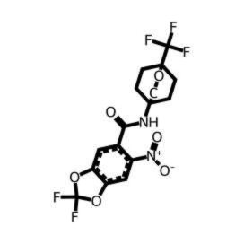 O=C(NC12CCC(C(F)(F)F)(CC1)OC2)c1cc2c(cc1[N+](=O)[O-])OC(F)(F)O2